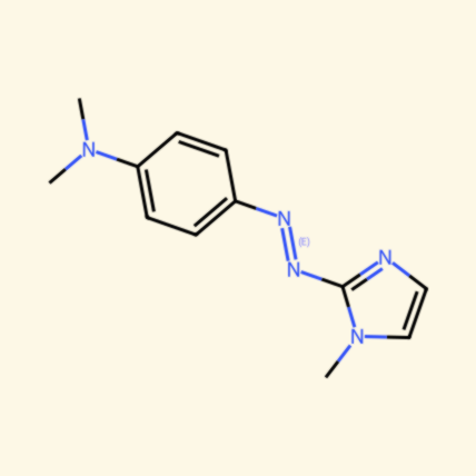 CN(C)c1ccc(/N=N/c2nccn2C)cc1